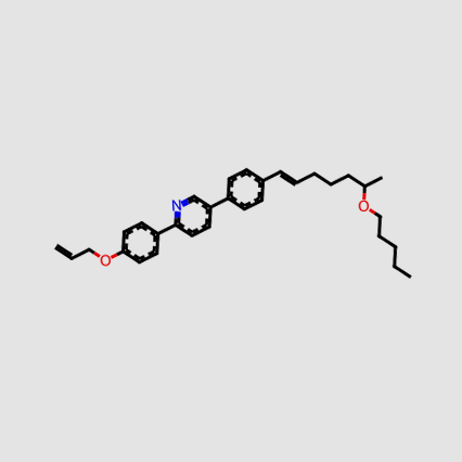 C=CCOc1ccc(-c2ccc(-c3ccc(C=CCCCC(C)OCCCCC)cc3)cn2)cc1